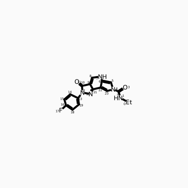 CCNC(=O)n1cc2[nH]cc3c(=O)n(-c4ccc(F)cc4)nc-3c2c1